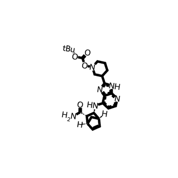 CC(C)(C)OC(=O)ON1CCCC(c2nc3c(N[C@H]4[C@@H](C(N)=O)[C@@H]5C=C[C@H]4C5)ccnc3[nH]2)C1